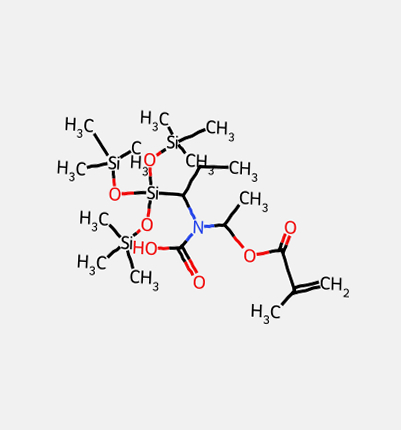 C=C(C)C(=O)OC(C)N(C(=O)O)C(CC)[Si](O[Si](C)(C)C)(O[Si](C)(C)C)O[Si](C)(C)C